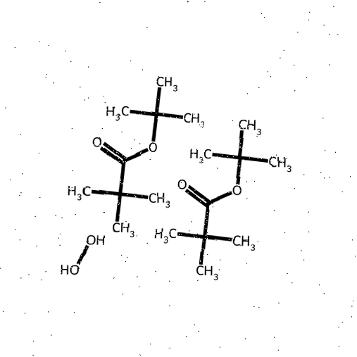 CC(C)(C)OC(=O)C(C)(C)C.CC(C)(C)OC(=O)C(C)(C)C.OO